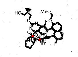 COCOc1ccc2ccc(F)c(C#C[Si](C(C)C)(C(C)C)C(C)C)c2c1-c1ncc2c(N3CC4CCC(C3)N4C(=O)OC(C)(C)C)nc(OCC3(CO)CC3)nc2c1F